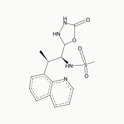 C[C@H](c1cccc2cccnc12)[C@H](NS(C)(=O)=O)C1NNC(=O)O1